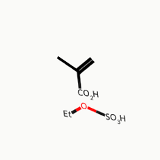 C=C(C)C(=O)O.CCOS(=O)(=O)O